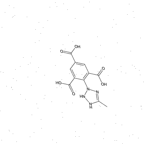 CC1=NN(c2c(C(=O)O)cc(C(=O)O)cc2C(=O)O)NN1